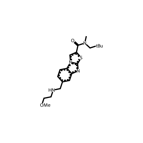 COCCNCc1ccc2c(c1)nc1sc(C(=O)N(C)CC(C)(C)C)cn12